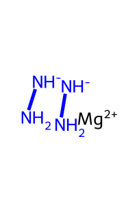 [Mg+2].[NH-]N.[NH-]N